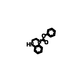 O=C(Oc1ccccc1)N1CCNc2ccccc21